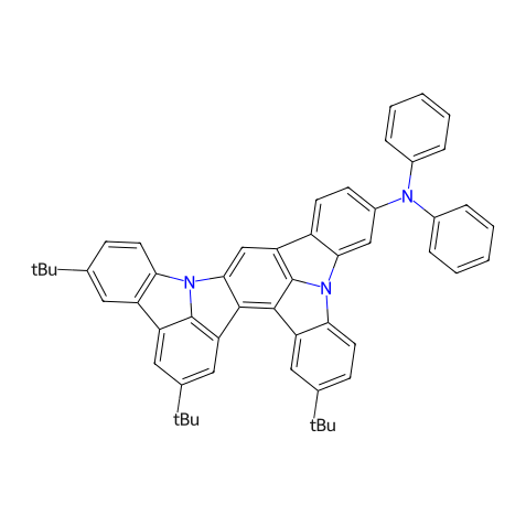 CC(C)(C)c1ccc2c(c1)c1cc(C(C)(C)C)cc3c4c5c6cc(C(C)(C)C)ccc6n6c7cc(N(c8ccccc8)c8ccccc8)ccc7c(cc4n2c13)c56